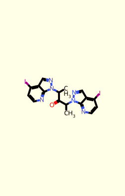 CC(C(=O)C(C)n1ncc2c(I)ccnc21)n1ncc2c(I)ccnc21